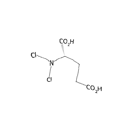 O=C(O)CC[C@@H](C(=O)O)N(Cl)Cl